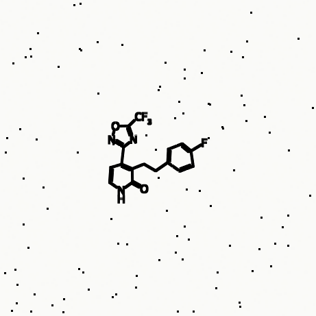 O=c1[nH]ccc(-c2noc(C(F)(F)F)n2)c1CCc1ccc(F)cc1